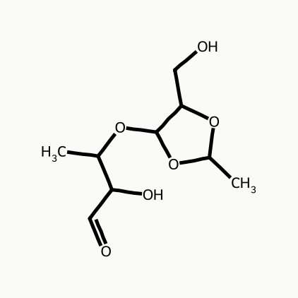 CC1OC(CO)C(OC(C)C(O)C=O)O1